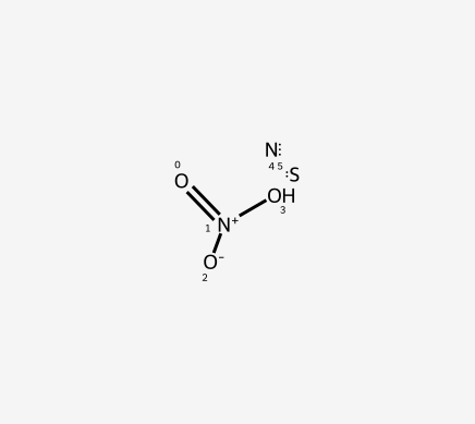 O=[N+]([O-])O.[N].[S]